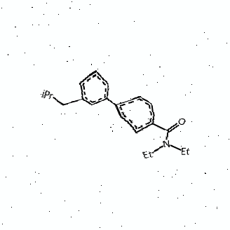 CCN(CC)C(=O)c1ccc(-c2cccc(CC(C)C)c2)cc1